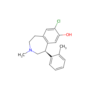 Cc1ccccc1[C@H]1CN(C)CCc2cc(Cl)c(O)cc21